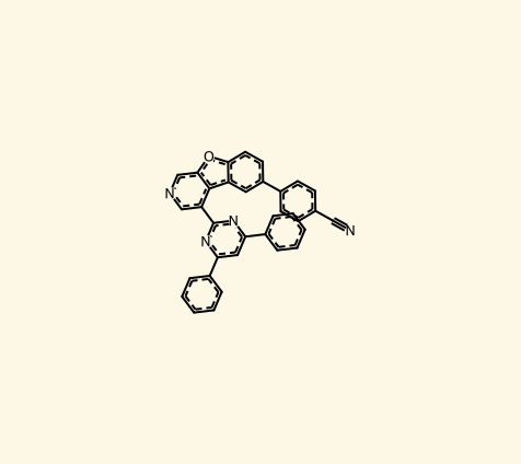 N#Cc1ccc(-c2ccc3oc4cncc(-c5nc(-c6ccccc6)cc(-c6ccccc6)n5)c4c3c2)cc1